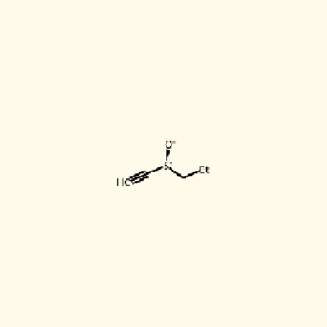 C#C[S@@+]([O-])CCC